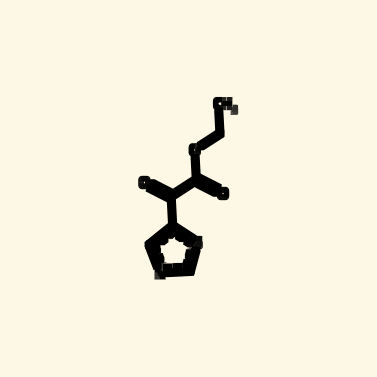 CCOC(=O)C(=O)c1cncs1